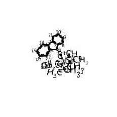 C[Si](C)(C)N([B+]C1c2ccccc2-c2ccccc21)[Si](C)(C)C.[Cl-]